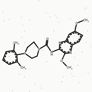 COc1ccc2nc(OC)c(NC(=O)N3CCN(c4c(C)cccc4C)CC3)nc2c1